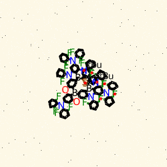 CC(C)(C)c1ccc2sc3c(c2c1)N(c1c(F)cccc1F)c1cc(N(c2c(F)cccc2F)c2c(F)cccc2F)cc2c1B3c1cc3c(cc1N2c1c(F)cccc1F)Oc1cc(N(c2c(F)cccc2F)c2c(F)cccc2F)cc2c1B3c1cc3c(cc1O2)N(c1c(F)cccc1F)c1cc(N(c2c(F)cccc2F)c2c(F)cccc2F)cc2c1B3c1sc3ccc(C(C)(C)C)cc3c1N2c1c(F)cccc1F